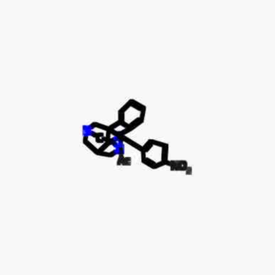 CC(=O)N1C(c2ccc([N+](=O)[O-])cc2)c2ccccc2C23CN4CCN(CC(C4)C12)C3